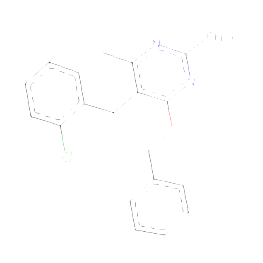 Cc1nc(C=O)nc(OCc2ccccc2)c1Cc1ccccc1Cl